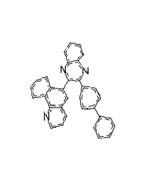 c1ccc(-c2ccc(-c3nc4ccccc4nc3-c3cc4cccnc4c4ccccc34)cc2)cc1